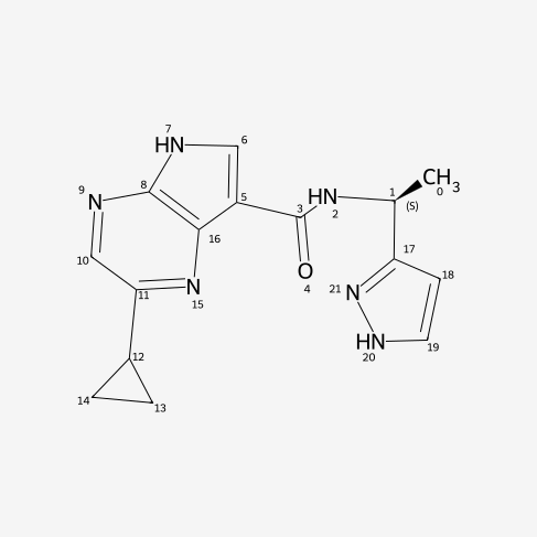 C[C@H](NC(=O)c1c[nH]c2ncc(C3CC3)nc12)c1cc[nH]n1